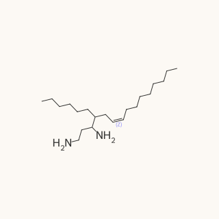 CCCCCCCC/C=C\CC(CCCCCC)C(N)CCN